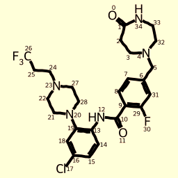 O=C1CCN(Cc2ccc(C(=O)Nc3ccc(Cl)cc3N3CCN(CCC(F)(F)F)CC3)c(F)c2)CCN1